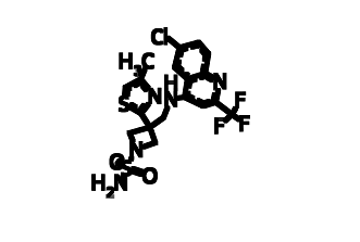 Cc1csc(C2(CNc3cc(C(F)(F)F)nc4ccc(Cl)cc34)CN(S(N)(=O)=O)C2)n1